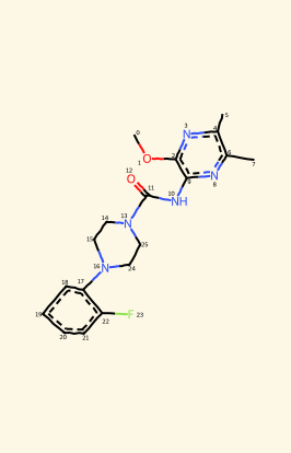 COc1nc(C)c(C)nc1NC(=O)N1CCN(c2ccccc2F)CC1